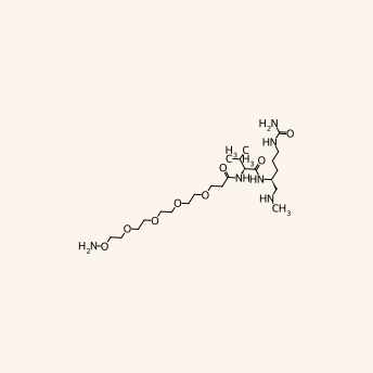 CNC[C@H](CCCNC(N)=O)NC(=O)[C@@H](NC(=O)CCOCCOCCOCCOCCON)C(C)C